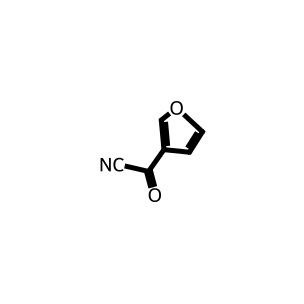 N#CC(=O)c1ccoc1